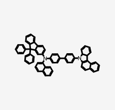 C1=CC2c3c(ccc4ccccc34)N(c3ccc(-c4ccc(N(c5ccc6c(c5)C(c5ccccc5)(c5ccccc5)c5ccccc5-6)c5cccc6ccccc56)cc4)cc3)C2C=C1